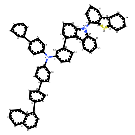 c1ccc(-c2ccc(N(c3ccc(-c4ccc(-c5cccc6ccccc56)cc4)cc3)c3cccc(-c4cccc5c4c4ccccc4n5-c4cccc5c4sc4ccccc45)c3)cc2)cc1